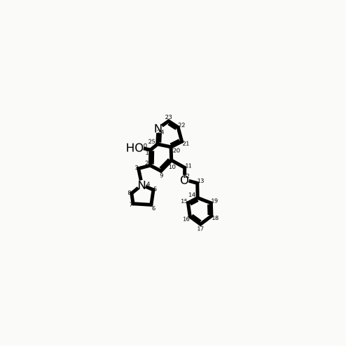 Oc1c(CN2CCCC2)cc(COCc2ccccc2)c2cccnc12